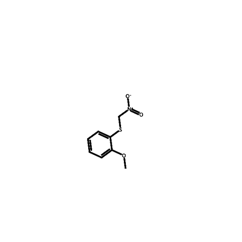 COc1ccccc1SC[N+](=O)[O-]